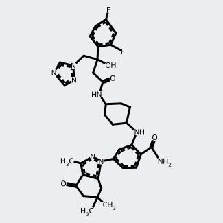 Cc1nn(-c2ccc(C(N)=O)c(NC3CCC(NC(=O)CC(O)(Cn4cncn4)c4ccc(F)cc4F)CC3)c2)c2c1C(=O)CC(C)(C)C2